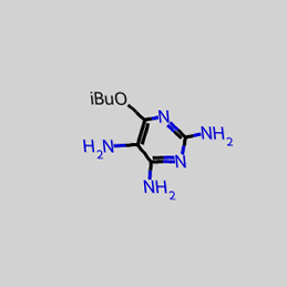 CC(C)COc1nc(N)nc(N)c1N